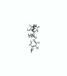 Fc1ccc(CNC23CCN(CC2)CC3)cc1